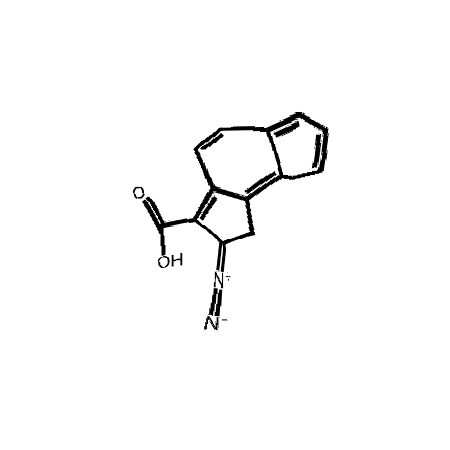 [N-]=[N+]=C1Cc2c3c(ccc2=C1C(=O)O)=CC=C3